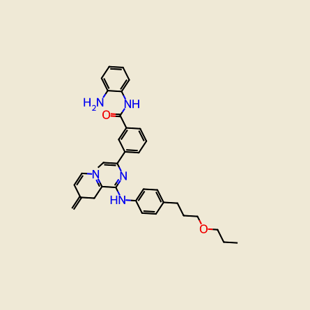 C=C1C=CN=C(/C(=N\C(=C/C)c2cccc(C(=O)Nc3ccccc3N)c2)Nc2ccc(CCCOCCC)cc2)C1